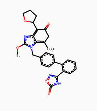 CCOc1nc2c(n1Cc1ccc(-c3ccccc3-c3noc(=O)[nH]3)cc1)=C(C(=O)O)CC(=O)C=2C1CCCO1